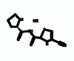 Cl.N#CC1=CSC(C(=O)NC(=O)[C@@H]2CCCN2)N1